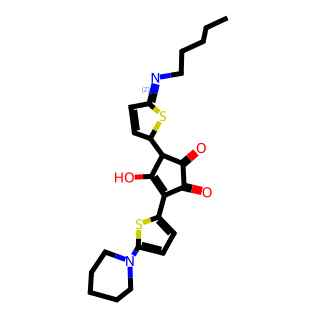 CCCCC/N=C1/C=CC(C2C(=O)C(=O)C(c3ccc(N4CCCCC4)s3)=C2O)S1